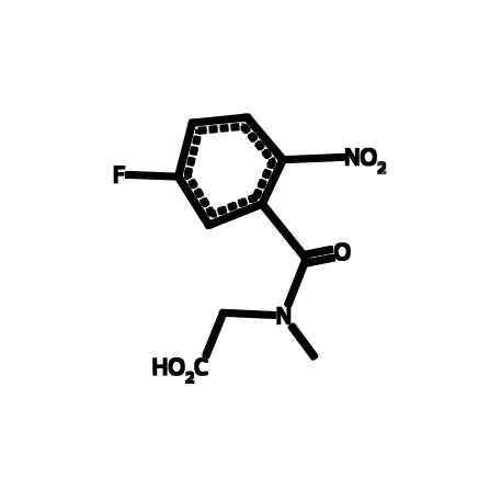 CN(CC(=O)O)C(=O)c1cc(F)ccc1[N+](=O)[O-]